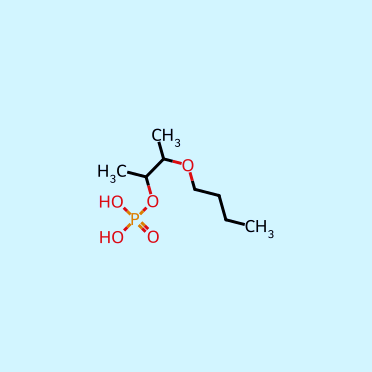 CCCCOC(C)C(C)OP(=O)(O)O